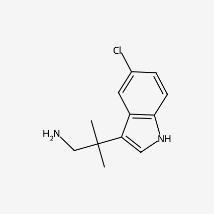 CC(C)(CN)c1c[nH]c2ccc(Cl)cc12